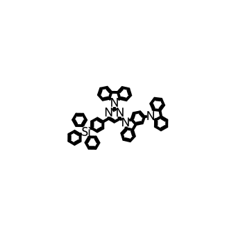 c1ccc([Si](c2ccccc2)(c2ccccc2)c2ccc(-c3cc(-n4c5ccccc5c5cc(-n6c7ccccc7c7ccccc76)ccc54)nc(-n4c5ccccc5c5ccccc54)n3)cc2)cc1